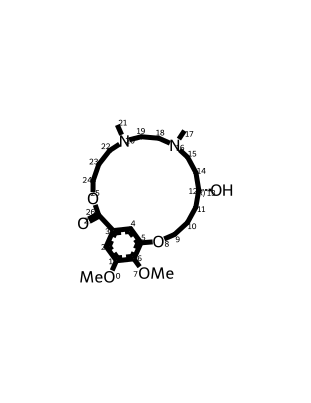 COc1cc2cc(c1OC)OCCC[C@@H](O)CCN(C)CCN(C)CCCOC2=O